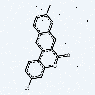 CCc1ccc2c(c1)oc(=O)c1cc3cc(C)ccc3cc12